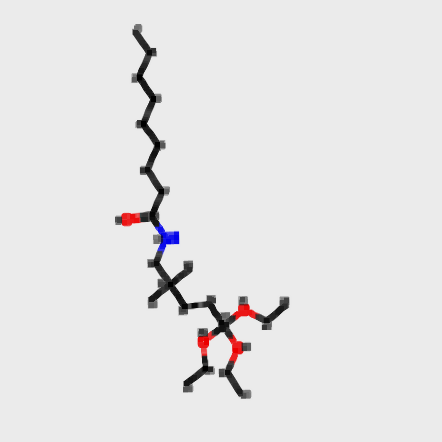 CCCCC[CH]CCC(=O)NCC(C)(C)CC[Si](OCC)(OCC)OCC